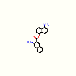 Nc1cc2ccccc2cc1C(=O)Oc1cccc2c(N)cccc12